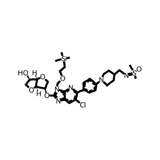 C[Si](C)(C)CCOCn1c(O[C@@H]2CO[C@H]3[C@@H]2OC[C@H]3O)nc2cc(Cl)c(-c3ccc(N4CCC(CN=S(C)(C)=O)CC4)cc3)nc21